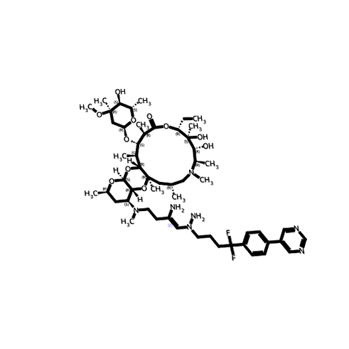 CC[C@H]1OC(=O)[C@H](C)[C@@H](O[C@H]2C[C@@](C)(OC)[C@@H](O)[C@H](C)O2)[C@H](C)[C@H]2O[C@@H]3O[C@H](C)C[C@H](N(C)CC/C(N)=C/N(N)CCCC(F)(F)c4ccc(-c5cncnc5)cc4)[C@H]3O[C@]2(C)C[C@@H](C)CN(C)[C@H](C)[C@@H](O)[C@]1(C)O